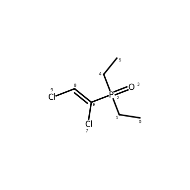 CCP(=O)(CC)C(Cl)=CCl